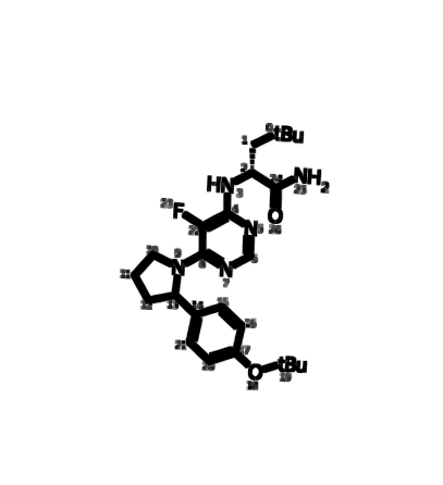 CC(C)(C)C[C@@H](Nc1ncnc(N2CCCC2c2ccc(OC(C)(C)C)cc2)c1F)C(N)=O